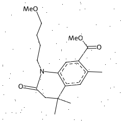 COCCCCN1C(=O)CC(C)(C)c2cc(C)c(C(=O)OC)cc21